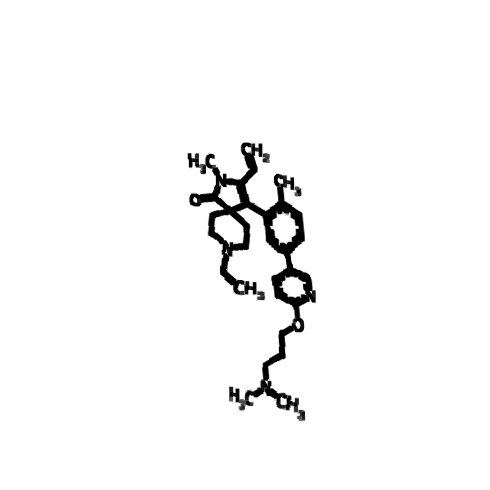 C=CC1=C(c2cc(-c3ccc(OCCCN(C)C)nc3)ccc2C)C2(CCN(CC)CC2)C(=O)N1C